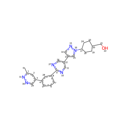 Cc1cc(-c2cccc(-c3ncc(-c4cnn(C5CCC(CO)CC5)c4)cn3)c2)cnn1